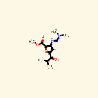 COC(=O)c1sc(C(=O)C(C)C)cc1N=CN(C)C